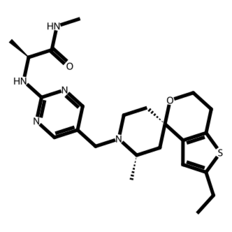 CCc1cc2c(s1)CCO[C@@]21CCN(Cc2cnc(N[C@@H](C)C(=O)NC)nc2)[C@@H](C)C1